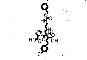 N[C@@](CCCCNC(=O)OCc1ccccc1)(C(=O)N1CSCC1C(=O)O)C(CCc1ccc(Cl)cc1)C(=O)O